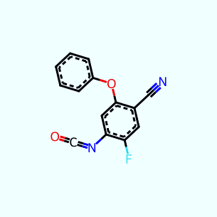 N#Cc1cc(F)c(N=C=O)cc1Oc1ccccc1